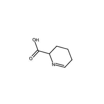 O=C(O)C1CCCC=N1